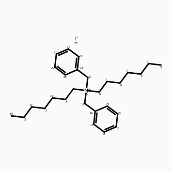 CCCCCCC[N+](CCCCCCC)(Cc1ccccc1)Cc1ccccc1.[I-]